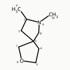 CC1CC2(CCOC2)CN1C